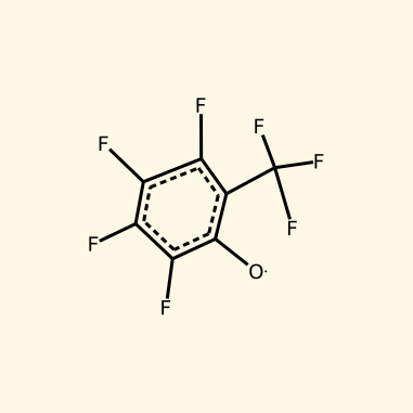 [O]c1c(F)c(F)c(F)c(F)c1C(F)(F)F